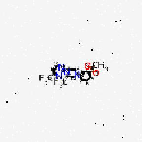 CS(=O)(=O)c1cccc(N2CCN(c3nccc(C(F)(F)F)n3)C(C(F)(F)F)C2)c1